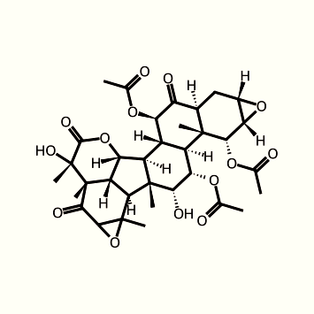 CC(=O)O[C@H]1[C@H]2[C@H]([C@@H]3[C@H]4OC(=O)[C@@](C)(O)[C@@]5(C)C(=O)C6OC6(C)[C@@H]([C@@H]45)[C@@]3(C)[C@H]1O)[C@@H](OC(C)=O)C(=O)[C@H]1C[C@@H]3O[C@@H]3[C@H](OC(C)=O)[C@]21C